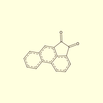 O=C1C(=O)c2cc3ccccc3c3cccc1c23